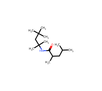 CC(C)CC(C)C(=O)NC(C)(C)CC(C)(C)C